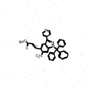 COC(=O)/C=C/c1cc2c(-c3ccncc3)nn(C(c3ccccc3)(c3ccccc3)c3ccccc3)c2cc1[N+](=O)[O-]